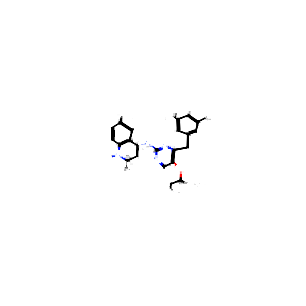 CCOC(=O)N1c2ccc(C(F)(F)F)cc2[C@@H](Nc2ncc(OC(CC=O)OC)c(Cc3cc(C(F)(F)F)cc(C(F)(F)F)c3)n2)C[C@H]1CC